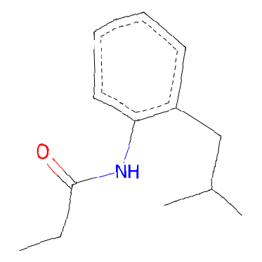 CCC(=O)Nc1ccccc1CC(C)C